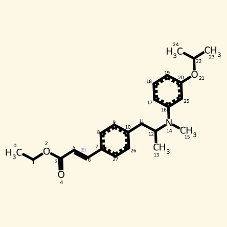 CCOC(=O)/C=C/c1ccc(CC(C)N(C)c2cccc(OC(C)C)c2)cc1